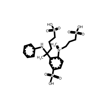 C=[N+](CCCS(=O)(=O)O)c1ccc(S(=O)(=O)O)cc1C(C)(CCCS(=O)(=O)O)Nc1ccccc1